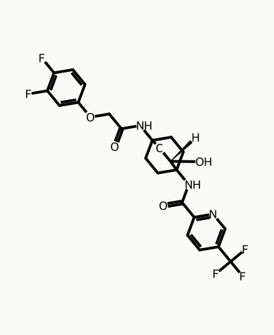 O=C(COc1ccc(F)c(F)c1)NC12CCC(NC(=O)c3ccc(C(F)(F)F)cn3)(CC1)[C@@H](O)C2